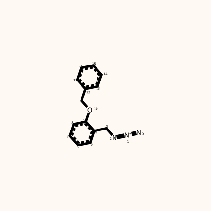 [N-]=[N+]=NCc1ccccc1OCc1ccccc1